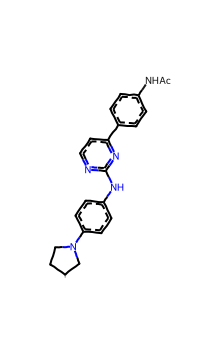 CC(=O)Nc1ccc(-c2ccnc(Nc3ccc(N4C[CH]CC4)cc3)n2)cc1